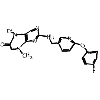 CCN1C(=O)CN(C)c2nc(NCc3ccc(Oc4ccc(F)cc4)nc3)ncc21